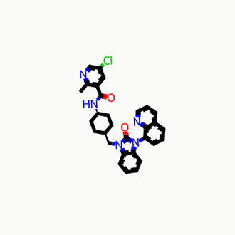 Cc1ncc(Cl)cc1C(=O)N[C@H]1CC[C@H](Cn2c(=O)n(-c3cccc4cccnc34)c3ccccc32)CC1